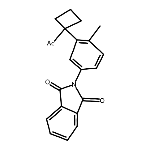 CC(=O)C1(c2cc(N3C(=O)c4ccccc4C3=O)ccc2C)CCC1